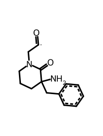 NC1(Cc2ccccc2)CCCN(C[C]=O)C1=O